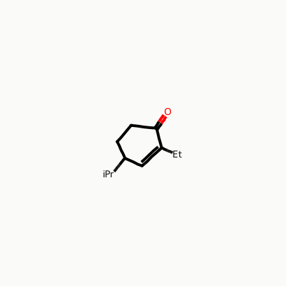 CCC1=CC(C(C)C)CCC1=O